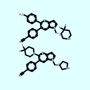 Cc1ccc(-c2nc3ccn(C[C@H]4CNCCC4(F)F)c3cc2-c2ccc(C#N)cc2)cc1.N#Cc1ccc(-c2cc3c(ccn3C[C@H]3CCNC3)nc2N2CCC(F)(F)CC2)cc1